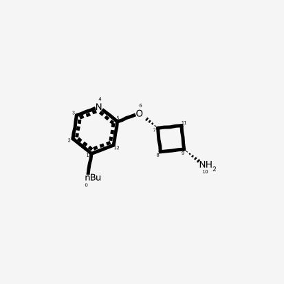 CCCCc1ccnc(O[C@H]2C[C@@H](N)C2)c1